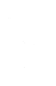 COc1ccc2c(O)nc(-c3ccncc3)nc2c1C